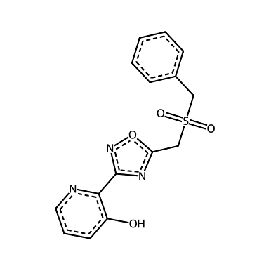 O=S(=O)(Cc1ccccc1)Cc1nc(-c2ncccc2O)no1